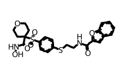 O=C(NCCSc1ccc(S(=O)(=O)C2(C(=O)NO)CCOCC2)cc1)c1cc2ccccc2o1